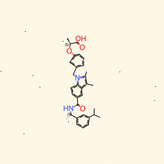 Cc1c(C)n(Cc2cccc(O[C@@H](C)C(=O)O)c2)c2ccc(C(=O)N[C@@H](C)c3cccc(C(C)C)c3)cc12